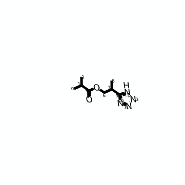 CC(C)C(=O)OCC(C)c1nnn[nH]1